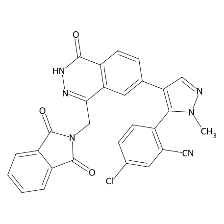 Cn1ncc(-c2ccc3c(=O)[nH]nc(CN4C(=O)c5ccccc5C4=O)c3c2)c1-c1ccc(Cl)cc1C#N